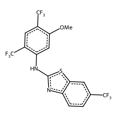 COc1cc(Nc2nc3ccc(C(F)(F)F)cc3s2)c(C(F)(F)F)cc1C(F)(F)F